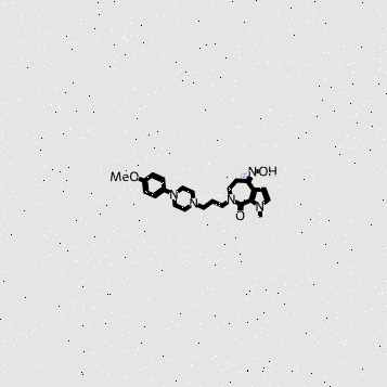 COc1ccc(N2CCN(CCCN3CC/C(=N/O)c4ccn(C)c4C3=O)CC2)cc1